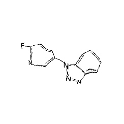 Fc1ccc(-n2nnc3ccccc32)cn1